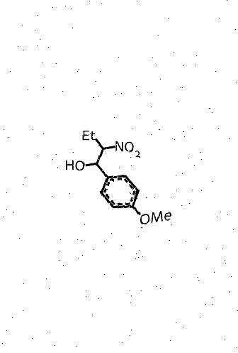 CCC(C(O)c1ccc(OC)cc1)[N+](=O)[O-]